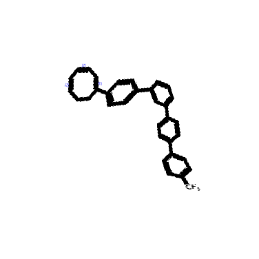 FC(F)(F)c1ccc(-c2ccc(-c3cccc(-c4ccc(/C5=C/C=C\C=C/CC5)cc4)c3)cc2)cc1